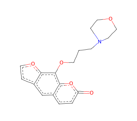 O=c1ccc2cc3ccoc3c(OCCCN3CCOCC3)c2o1